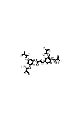 C=C(C)C(=O)Oc1cc(OC(=O)/C=C/c2ccc(OC(O)C(=C)C)c(OC(=O)C(=C)C)c2)cc(OC(O)C(=C)C)c1